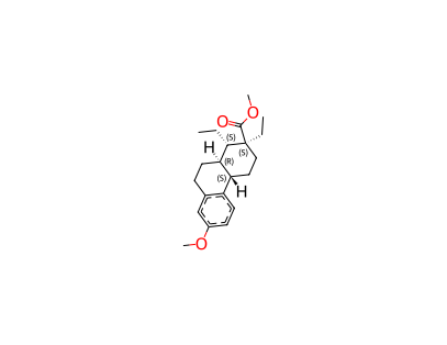 CC[C@H]1[C@@H]2CCc3cc(OC)ccc3[C@H]2CC[C@]1(CC)C(=O)OC